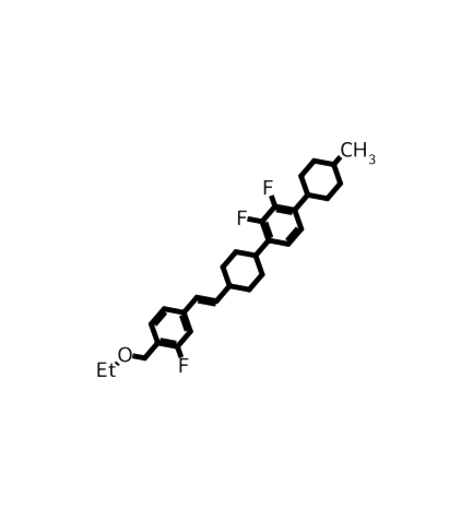 CCOCc1ccc(/C=C/C2CCC(c3ccc(C4CCC(C)CC4)c(F)c3F)CC2)cc1F